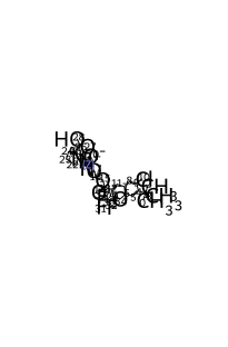 CC(C)(C)c1cc2c(cc1Cl)C=C(C(=O)OCO/N=[N+](\[O-])N1CCC[C@H]1C(=O)O)[C@@H](C(F)(F)F)O2